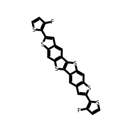 Fc1ccsc1-c1cc2cc3c(cc2s1)sc1c2cc4cc(-c5sccc5F)sc4cc2sc31